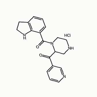 Cl.O=C(c1cccnc1)C1CNCCN1C(=O)c1cccc2c1NCC2